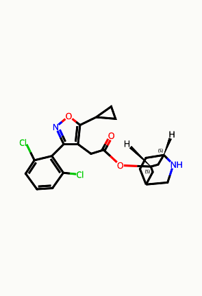 O=C(Cc1c(-c2c(Cl)cccc2Cl)noc1C1CC1)O[C@H]1CC2CC[C@@H](C1)NC2